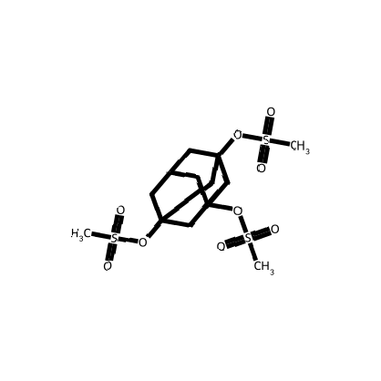 CS(=O)(=O)OC12C[C]3CC(OS(C)(=O)=O)(C1)CC(OS(C)(=O)=O)(C3)C2